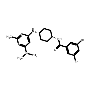 Cc1nc(N[C@H]2CC[C@@H](NC(=O)c3cc(Br)cc(Br)c3)CC2)cc(N(C)C)n1